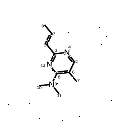 C/C=C/c1ncc(C)c(N(C)C)n1